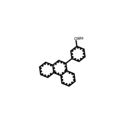 COc1cccc(-c2cc3ccccc3c3ccccc23)c1